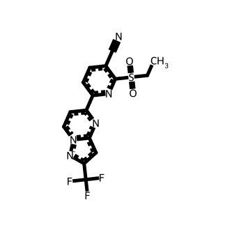 CCS(=O)(=O)c1nc(-c2ccn3nc(C(F)(F)F)cc3n2)ccc1C#N